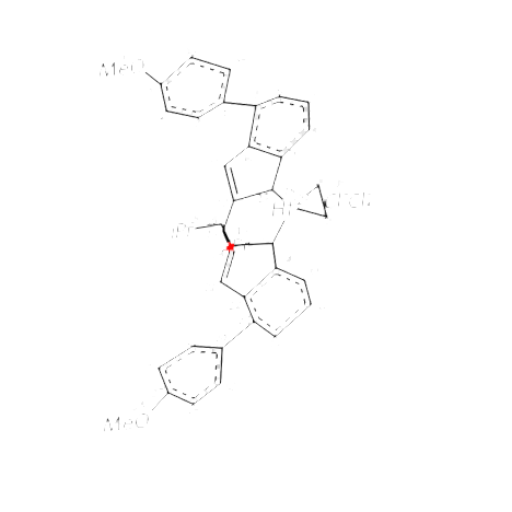 COc1ccc(-c2cccc3c2C=C(CC(C)C)[CH]3[Hf+2]2([CH]3C(CC(C)C)=Cc4c(-c5ccc(OC)cc5)cccc43)[CH2][CH2]2)cc1.[Cl-].[Cl-]